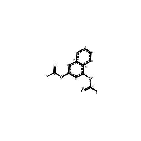 CC(=O)Oc1cc(OC(C)=O)c2ccccc2c1